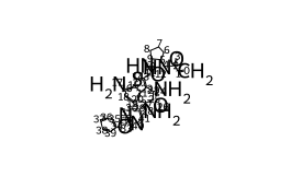 C=CC(=O)N[C@@H]1CCC[C@H]1NC(=O)c1sc2c(N)ccc3c2c1C(N)C(=O)C3(N)c1cnc(Oc2ccccc2)nc1